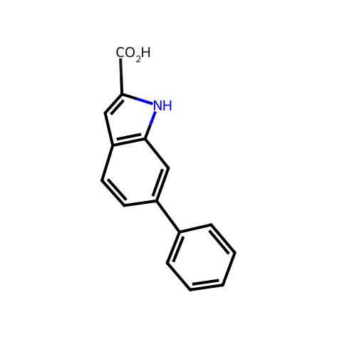 O=C(O)c1cc2ccc(-c3ccccc3)cc2[nH]1